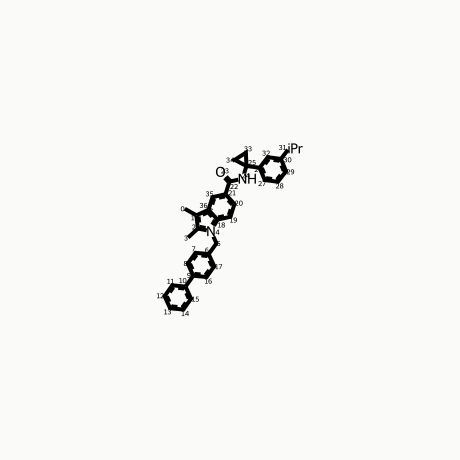 Cc1c(C)n(Cc2ccc(-c3ccccc3)cc2)c2ccc(C(=O)NC3(c4cccc(C(C)C)c4)CC3)cc12